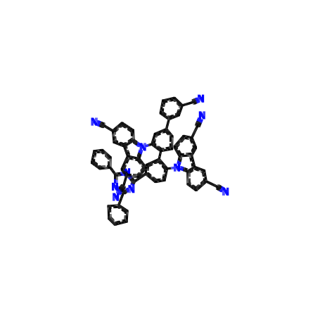 N#Cc1cccc(-c2ccc(-c3cc(-c4nc(-c5ccccc5)nc(-c5ccccc5)n4)ccc3-n3c4ccc(C#N)cc4c4cc(C#N)ccc43)c(-n3c4ccc(C#N)cc4c4cc(C#N)ccc43)c2)c1